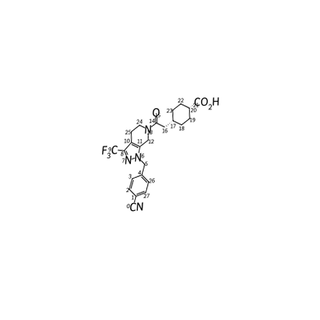 N#Cc1ccc(Cn2nc(C(F)(F)F)c3c2CN(C(=O)C[C@H]2CC[C@@H](C(=O)O)CC2)CC3)cc1